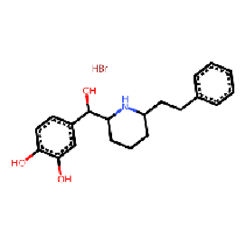 Br.Oc1ccc(C(O)C2CCCC(CCc3ccccc3)N2)cc1O